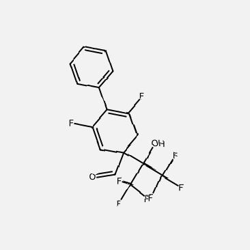 O=CC1(C(O)(C(F)(F)F)C(F)(F)F)C=C(F)C(c2ccccc2)=C(F)C1